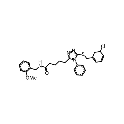 COc1ccccc1CNC(=O)CCCCc1nnc(SCC2=CC=CC(Cl)C2)n1-c1ccccc1